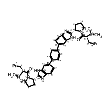 CC(C)C[C@@H](C(=O)N1CCC[C@H]1c1nc2ccc(-c3ccc(-c4ccc5nc([C@@H]6CCCN6C(=O)[C@H](CC(C)C)N(C)C)[nH]c5c4)cc3)cc2[nH]1)N(C)C